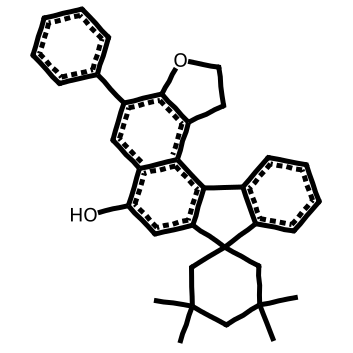 CC1(C)CC(C)(C)CC2(C1)c1ccccc1-c1c2cc(O)c2cc(-c3ccccc3)c3c(c12)CCO3